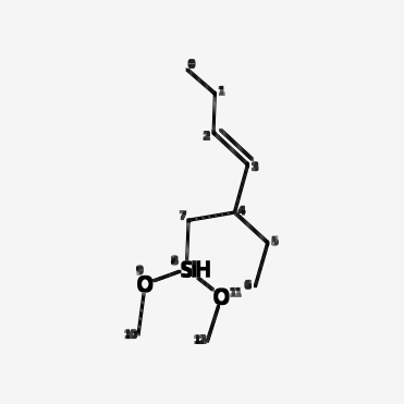 CCC=CC(CC)C[SiH](OC)OC